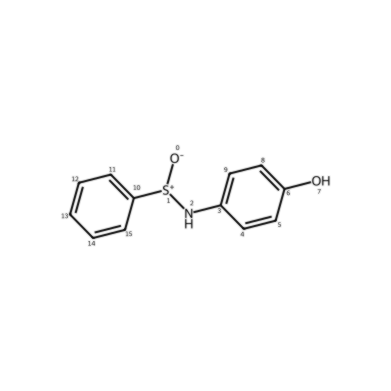 [O-][S+](Nc1ccc(O)cc1)c1ccccc1